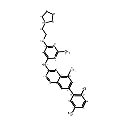 Cc1nc(Nc2nnc3cc(-c4cc(O)ccc4Cl)cc(C)c3n2)cc(OCCN2CCCC2)n1